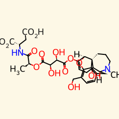 C[C@H](OC(=O)[C@H](O)[C@@H](O)C(=O)OC1=CC[C@@]2(O)[C@H]3Cc4ccc(CO)c5c4[C@@]2(CCCN3C)[C@H]1O5)C(=O)N[C@@H](CC(=O)O)C(=O)O